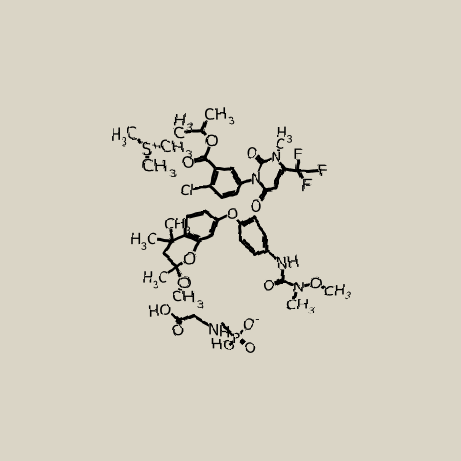 CC(C)OC(=O)c1cc(-n2c(=O)cc(C(F)(F)F)n(C)c2=O)ccc1Cl.CON(C)C(=O)Nc1ccc(Oc2ccc3c(c2)OC(C)(OC)CC3(C)C)cc1.C[S+](C)C.O=C(O)CNCP(=O)([O-])O